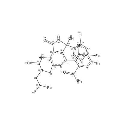 NC(=O)c1cc(F)cc(C(F)(F)F)c1-c1cc2c(c3c1C(O)(c1ccc(F)cc1Cl)NC3=O)NC(=O)N(CC(F)F)C2